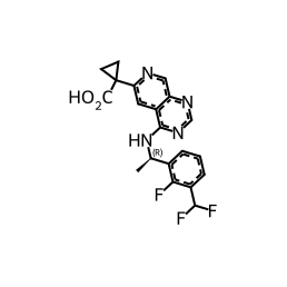 C[C@@H](Nc1ncnc2cnc(C3(C(=O)O)CC3)cc12)c1cccc(C(F)F)c1F